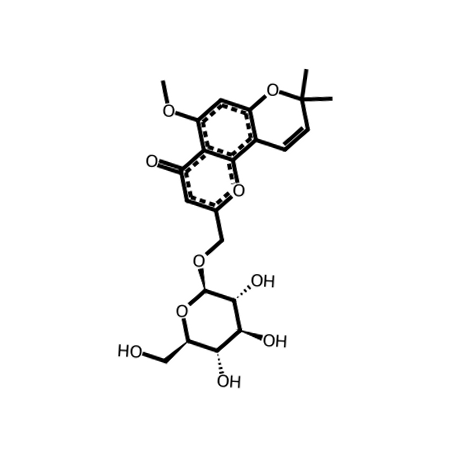 COc1cc2c(c3oc(CO[C@@H]4O[C@H](CO)[C@@H](O)[C@H](O)[C@H]4O)cc(=O)c13)C=CC(C)(C)O2